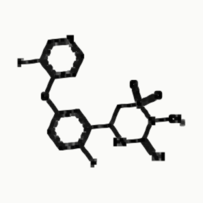 CN1C(=N)NC(c2cc(Oc3ccncc3F)ccc2F)CS1(=O)=O